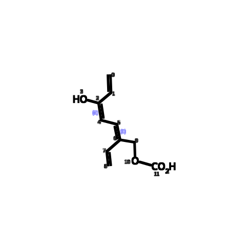 C=C/C(O)=C\C=C(/C=C)COC(=O)O